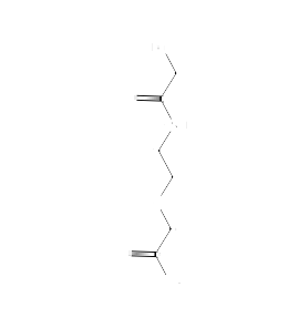 CC(C)(C)CC(=O)NCCOCC(=O)C(C)(C)C